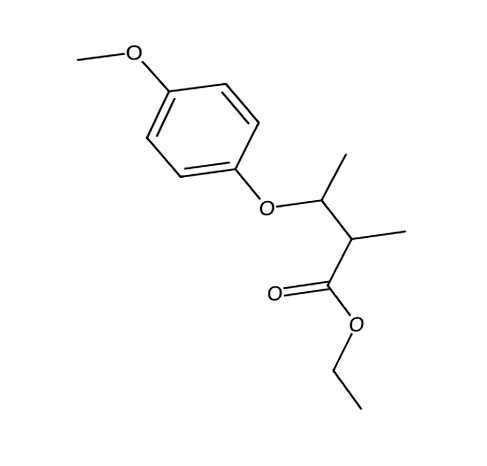 CCOC(=O)C(C)C(C)Oc1ccc(OC)cc1